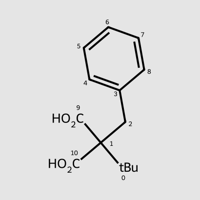 CC(C)(C)C(Cc1ccccc1)(C(=O)O)C(=O)O